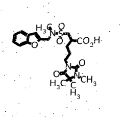 CN1C(=O)N(CCCC(CS(=O)(=O)N(C)Cc2cc3ccccc3o2)C(=O)O)C(=O)C1(C)C